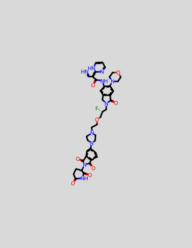 N=C/C(C(=O)Nc1cc2c(cc1N1CCOCC1)C(=O)N(C[C@@H](F)COCCN1CCN(c3ccc4c(c3)C(=O)N(C3CCC(=O)NC3=O)C4=O)CC1)C2)=C1/N=CC=CN1